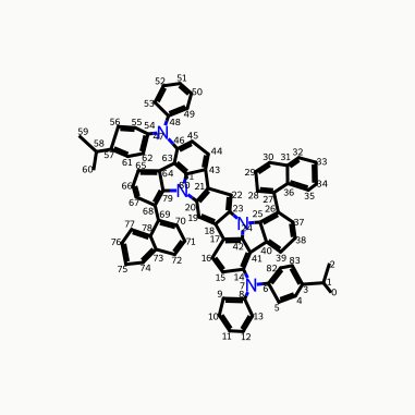 CC(C)c1ccc(N(c2ccccc2)c2ccc3c4cc5c(cc4n4c6c(-c7cccc8ccccc78)cccc6c2c34)c2ccc(N(c3ccccc3)c3ccc(C(C)C)cc3)c3c4cccc(-c6cccc7ccccc67)c4n5c23)cc1